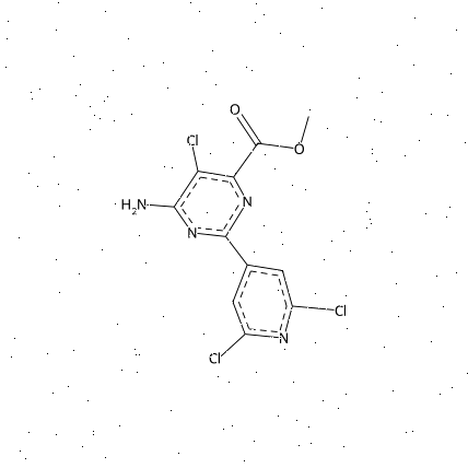 COC(=O)c1nc(-c2cc(Cl)nc(Cl)c2)nc(N)c1Cl